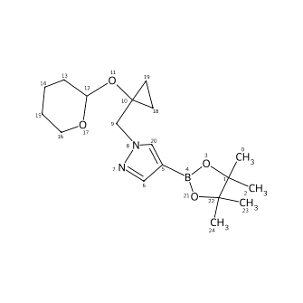 CC1(C)OB(c2cnn(CC3(OC4CCCCO4)CC3)c2)OC1(C)C